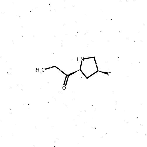 CCC(=O)[C@@H]1C[C@H](F)CN1